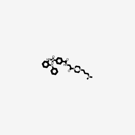 CN(C)CCCN1CCN(C(=O)CNC(=O)c2ccc(S(=O)(=O)Nc3ccccc3Oc3ccccc3)cc2)CC1